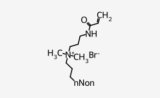 C=CC(=O)NCCC[N+](C)(C)CCCCCCCCCCCC.[Br-]